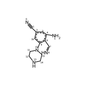 N#Cc1cc(N)c(C=N)c(N2CCNCC2)c1